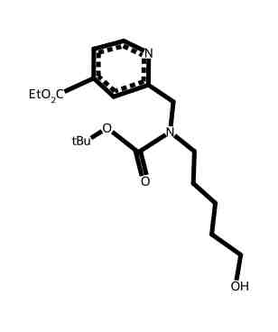 CCOC(=O)c1ccnc(CN(CCCCCO)C(=O)OC(C)(C)C)c1